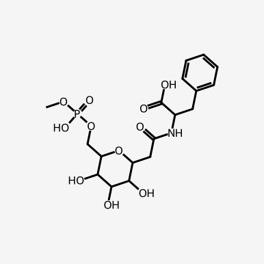 COP(=O)(O)OCC1OC(CC(=O)NC(Cc2ccccc2)C(=O)O)C(O)C(O)C1O